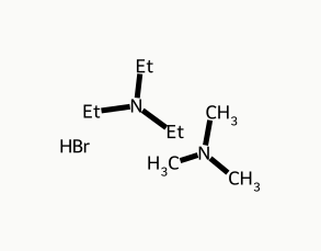 Br.CCN(CC)CC.CN(C)C